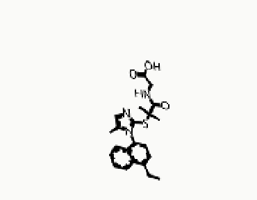 CCc1ccc(-n2c(C)cnc2SC(C)(C)C(=O)NCC(=O)O)c2ccccc12